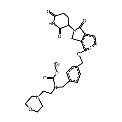 CC(C)(C)OC(=O)N(CCN1CCOCC1)Cc1ccc(COc2cccc3c2CN(C2CCC(=O)NC2=O)C3=O)cc1